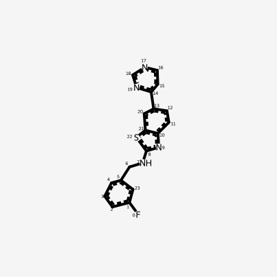 Fc1cccc(CNc2nc3ccc(-c4ccncn4)cc3s2)c1